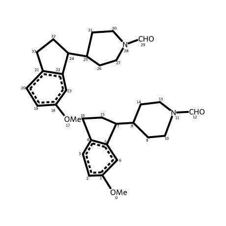 COc1ccc2c(c1)C(C1CCN(C=O)CC1)CC2.COc1ccc2c(c1)C(C1CCN(C=O)CC1)CC2